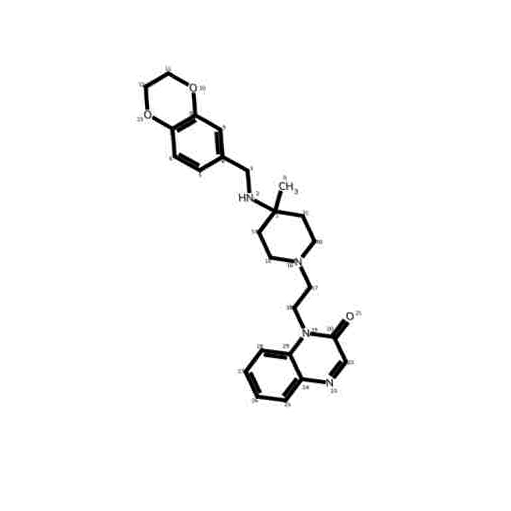 CC1(NCc2ccc3c(c2)OCCO3)CCN(CCn2c(=O)cnc3ccccc32)CC1